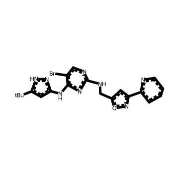 CC(C)(C)c1cc(Nc2nc(NCc3cc(-c4ccccn4)no3)ncc2Br)n[nH]1